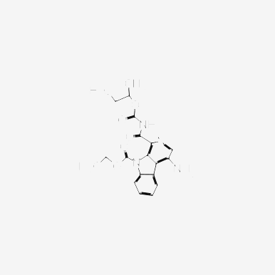 CCOC(=O)n1c2ccccc2c2c(N)cnc(C(=O)NC(=O)OC(C)CC)c21